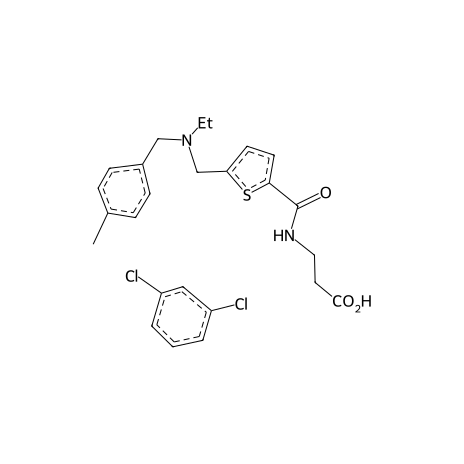 CCN(Cc1ccc(C)cc1)Cc1ccc(C(=O)NCCC(=O)O)s1.Clc1cccc(Cl)c1